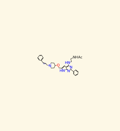 CC(=O)NCCNc1nc(-c2ccccc2)nc2[nH]c(COC3CCN(C/C=C/c4ccccc4)CC3)cc12